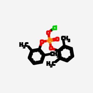 Cc1cccc(C)c1OP(=O)(OCl)Oc1c(C)cccc1C